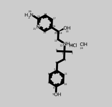 CC(C)(CCc1ccc(O)cc1)NC[C@H](O)c1ccc(N)nc1.Cl.Cl